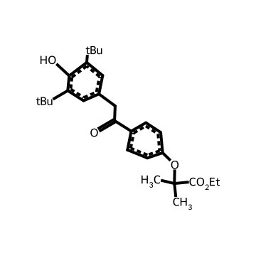 CCOC(=O)C(C)(C)Oc1ccc(C(=O)Cc2cc(C(C)(C)C)c(O)c(C(C)(C)C)c2)cc1